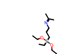 CCO[Si](CC)(CCCN=C(C)C)OCC